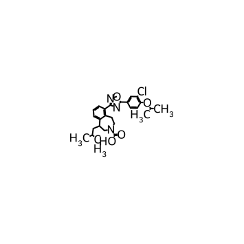 CC(C)CC1CN(C(=O)O)CCc2c(-c3noc(-c4ccc(OC(C)C)c(Cl)c4)n3)cccc21